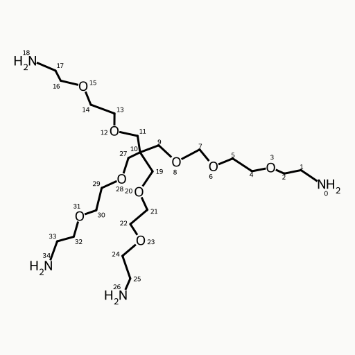 NCCOCCOCOCC(COCCOCCN)(COCCOCCN)COCCOCCN